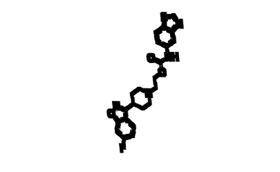 O=C(Nc1ccc2scnc2c1)OCCN1CCC(c2noc3cc(F)ccc23)CC1